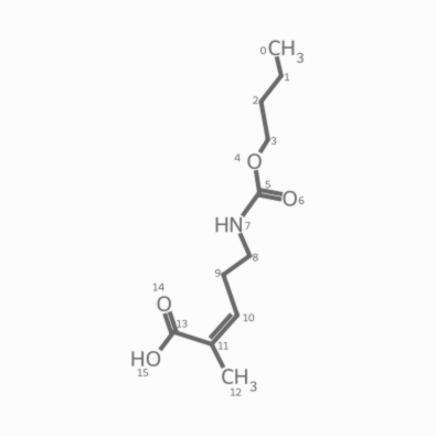 CCCCOC(=O)NCCC=C(C)C(=O)O